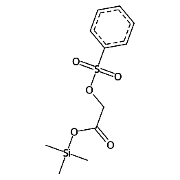 C[Si](C)(C)OC(=O)COS(=O)(=O)c1ccccc1